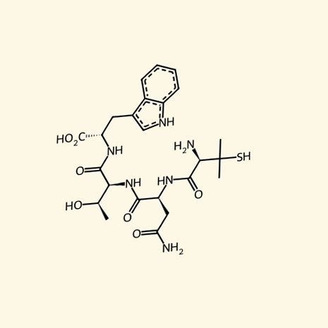 C[C@@H](O)[C@H](NC(=O)[C@H](CC(N)=O)NC(=O)[C@@H](N)C(C)(C)S)C(=O)N[C@@H](Cc1c[nH]c2ccccc12)C(=O)O